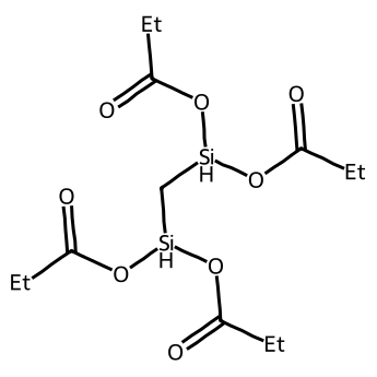 CCC(=O)O[SiH](C[SiH](OC(=O)CC)OC(=O)CC)OC(=O)CC